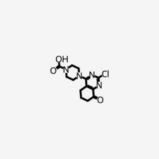 O=C1CCCc2c1nc(Cl)nc2N1CCN(C(=O)O)CC1